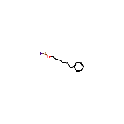 ISOCCCCCCc1ccccc1